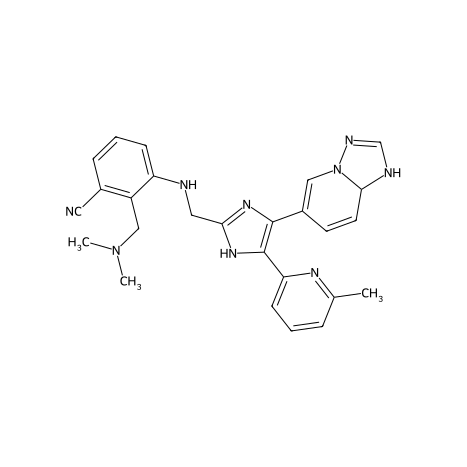 Cc1cccc(-c2[nH]c(CNc3cccc(C#N)c3CN(C)C)nc2C2=CN3N=CNC3C=C2)n1